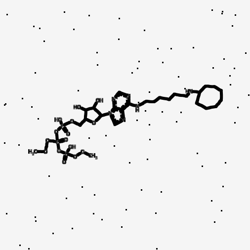 COOP(=O)(O)OP(=O)(OOC)OP(=O)(O)OCC1OC(n2cnc3c(NCCCCCCNC4CCCCCCC4)ncnc32)C(O)C1O